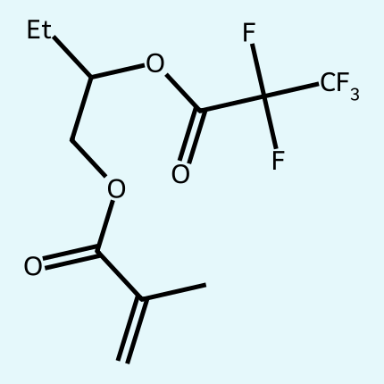 C=C(C)C(=O)OCC(CC)OC(=O)C(F)(F)C(F)(F)F